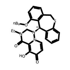 CCCCOc1cccc2c1[C@H](N1CN(CC)C(=O)c3c(O)c(=O)ccn31)c1ccccc1SC2